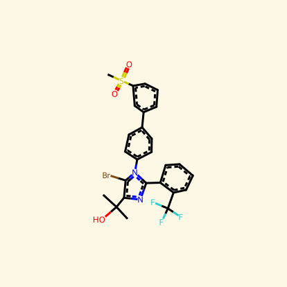 CC(C)(O)c1nc(-c2ccccc2C(F)(F)F)n(-c2ccc(-c3cccc(S(C)(=O)=O)c3)cc2)c1Br